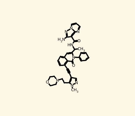 CC(NC(=O)c1c(N)nn2cccnc12)c1cc2cccc(C#Cc3cnn(C)c3CCN3CCOCC3)c2c(=O)n1-c1ccccc1